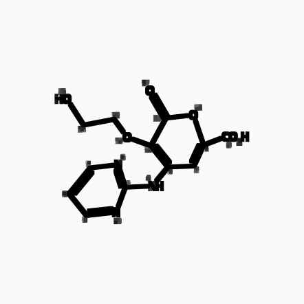 O=C(O)c1cc(Nc2ncccn2)c(OCCO)c(=O)o1